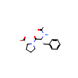 CC(=O)N(Cl)[C@@H](Cc1ccccc1)C(=O)N1CCC[C@H]1C(=O)O